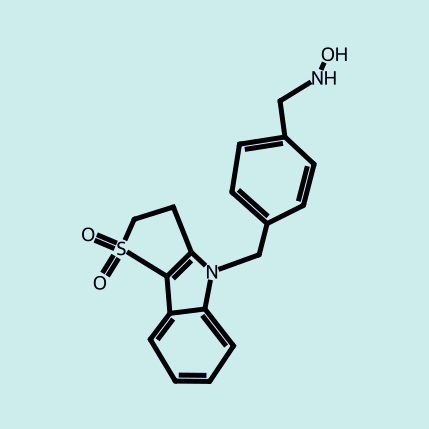 O=S1(=O)CCc2c1c1ccccc1n2Cc1ccc(CNO)cc1